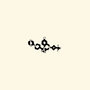 FC(F)(F)C1CC(N2Cc3cc(Cl)ccc3-n3c(nnc3C3CCN(c4cnccn4)CC3)C2)C1